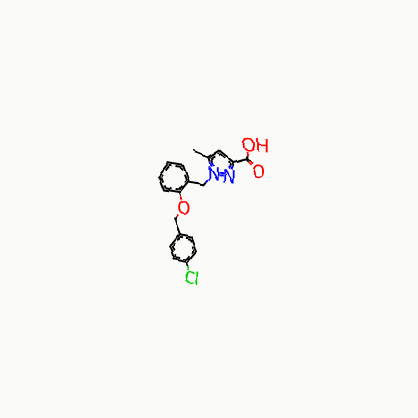 Cc1cc(C(=O)O)nn1Cc1ccccc1OCc1ccc(Cl)cc1